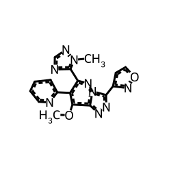 COc1c(-c2ccccn2)c(-c2ncnn2C)nn2c(-c3ccon3)nnc12